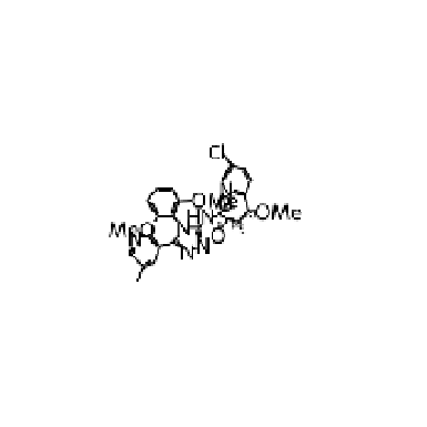 COc1cccc(OC)c1-n1c(NS(=O)(=O)[C@@H](C)[C@H](OC)c2ccc(Cl)cn2)nnc1-c1cncc(C)c1